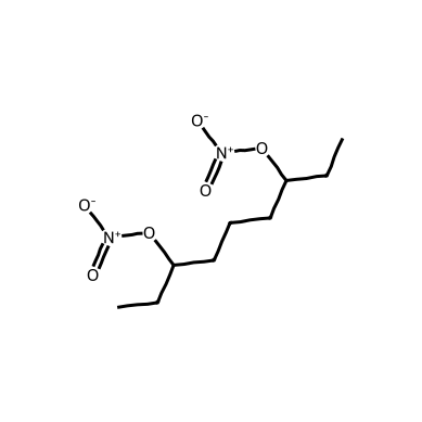 CCC(CCCC(CC)O[N+](=O)[O-])O[N+](=O)[O-]